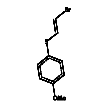 COc1ccc(SC=CBr)cc1